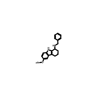 CCCOc1ccc2[nH]c3c(c2c1)CCCC3NCc1ccccc1